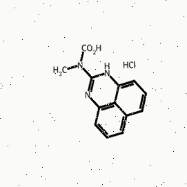 CN(C(=O)O)C1=Nc2cccc3cccc(c23)N1.Cl